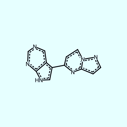 c1ncc2c(-c3ccn4nccc4n3)c[nH]c2n1